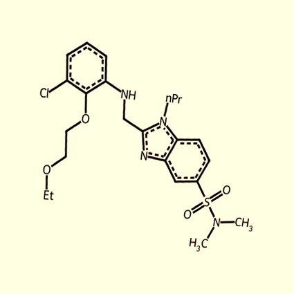 CCCn1c(CNc2cccc(Cl)c2OCCOCC)nc2cc(S(=O)(=O)N(C)C)ccc21